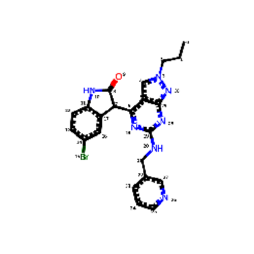 CCCn1cc2c(C3C(=O)Nc4ccc(Br)cc43)nc(NCc3cccnc3)nc2n1